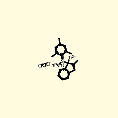 CCCCC[SiH](c1c(C)cc(C)cc1C)[C]1([Ti+3])C(C)=Cc2ccccc21.[Cl-].[Cl-].[Cl-]